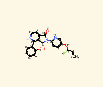 C=CC(F)Oc1ccc(N2Cc3c(ccnc3-c3ccccc3O)C2=O)nc1